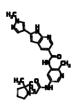 Cc1ncc(NC(=O)CN2CCCC2(C)C)cc1NC(=O)c1cnc2[nH]c(-c3cnn(C)c3)cc2c1